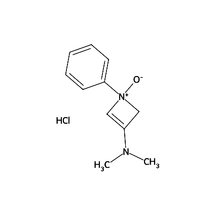 CN(C)C1=C[N+]([O-])(c2ccccc2)C1.Cl